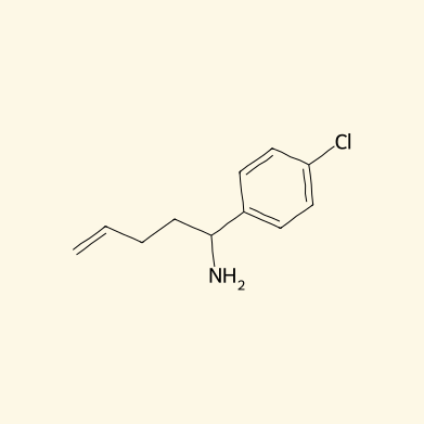 C=CCCC(N)c1ccc(Cl)cc1